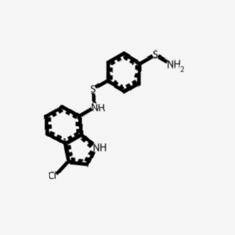 NSc1ccc(SNc2cccc3c(Cl)c[nH]c23)cc1